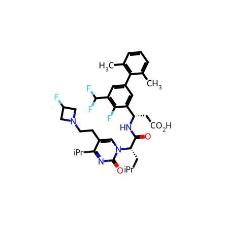 Cc1cccc(C)c1-c1cc(C(F)F)c(F)c([C@H](CC(=O)O)NC(=O)[C@H](CC(C)C)n2cc(CCN3CC(F)C3)c(C(C)C)nc2=O)c1